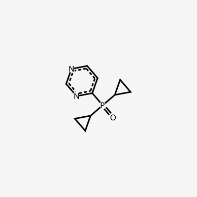 O=P(c1ccncn1)(C1CC1)C1CC1